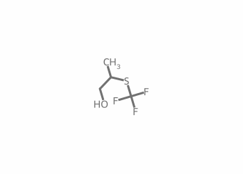 CC(CO)SC(F)(F)F